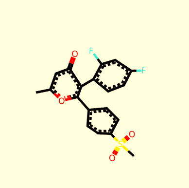 Cc1cc(=O)c(-c2ccc(F)cc2F)c(-c2ccc(S(C)(=O)=O)cc2)o1